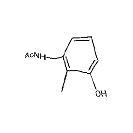 CC(=O)Nc1cccc(O)c1C